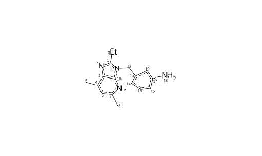 CCc1nc2c(C)cc(C)nc2n1Cc1cccc(N)c1